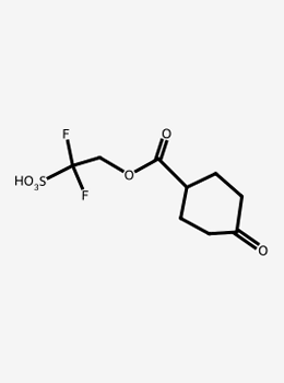 O=C1CCC(C(=O)OCC(F)(F)S(=O)(=O)O)CC1